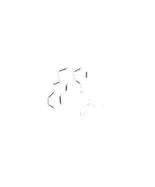 C[SiH](C)O[SiH2]c1cccc2ccc3cc4ccccc4cc3c12